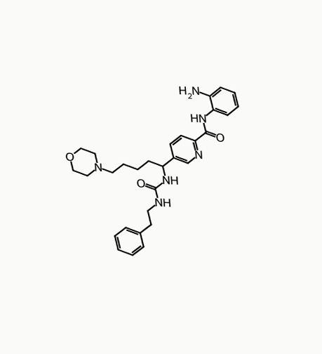 Nc1ccccc1NC(=O)c1ccc(C(CCCCN2CCOCC2)NC(=O)NCCc2ccccc2)cn1